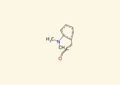 CN(C)c1ccccc1C=C=C=O